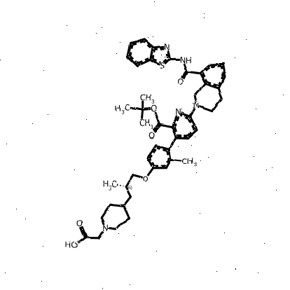 Cc1cc(OC[C@@H](C)CC2CCN(CC(=O)O)CC2)ccc1-c1ccc(N2CCc3cccc(C(=O)Nc4nc5ccccc5s4)c3C2)nc1C(=O)OC(C)(C)C